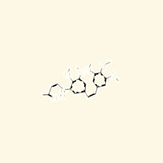 COc1cc(/C=C\c2cc(OC)c(OC)c(OC)c2)cc(N/C=C\C(C)=O)c1OC